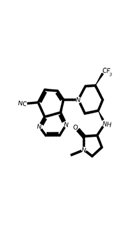 CN1CCC(N[C@@H]2C[C@H](C(F)(F)F)CN(c3ccc(C#N)c4nccnc34)C2)C1=O